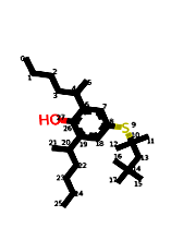 CCCCC(C)c1cc(SC(C)(C)CC(C)(C)C)cc(C(C)CCCC)c1O